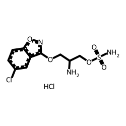 Cl.NC(COc1noc2ccc(Cl)cc12)COS(N)(=O)=O